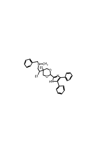 CCC(CN(C)Cc1ccccc1)C1(CC)COC(c2nc(-c3ccccc3)c(-c3ccccc3)[nH]2)OC1